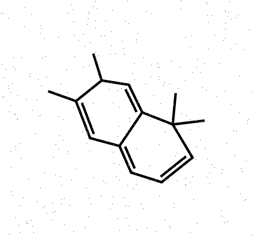 CC1=CC2=CC=CC(C)(C)C2=CC1C